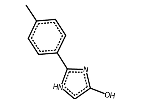 Cc1ccc(-c2nc(O)c[nH]2)cc1